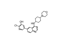 Oc1cc(-c2ccc3ncnc(NC4CCC(N5CCOCC5)CC4)c3c2)cnc1Cl